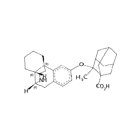 CC1(Oc2ccc3c(c2)[C@@]24CCCC[C@H]2[C@@H](C3)NCC4)C2CC3CC(C2)CC1(C(=O)O)C3